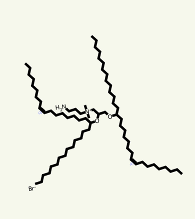 CCCCCCCC/C=C\CCCCCCCC(CCCCCCCCCCCCCC)OCC(C[N+](C)(C)CCCN)OC(CCCCCCC/C=C\CCCCCCCC)CCCCCCCCCCCCCC.[Br-]